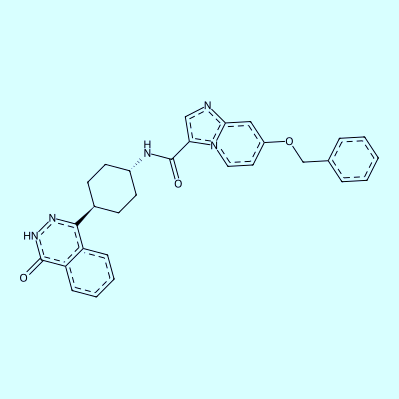 O=C(N[C@H]1CC[C@H](c2n[nH]c(=O)c3ccccc32)CC1)c1cnc2cc(OCc3ccccc3)ccn12